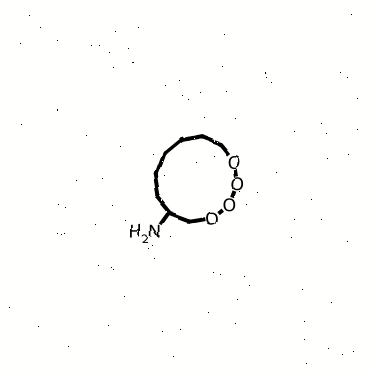 NC1CCCCCCOOOOC1